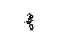 FC(F)(F)c1ccc2[nH]c(-c3cc(-c4ccccc4)n[nH]3)nc2c1